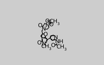 CC(=O)Nc1cc(-c2cn(C)c(=O)c3cc(CN4CCN(S(C)(=O)=O)CC4=O)oc23)ccn1